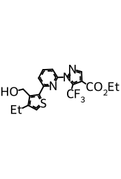 CCOC(=O)c1cnn(-c2cccc(-c3scc(CC)c3CO)n2)c1C(F)(F)F